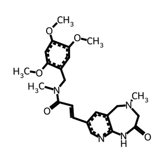 COc1cc(OC)c(OC)cc1CN(C)C(=O)C=Cc1cnc2c(c1)CN(C)CC(=O)N2